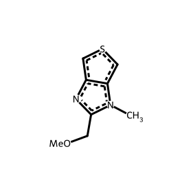 COCc1nc2cscc2n1C